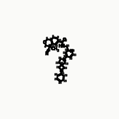 C[C@@]1(C#N)COCc2ccc(C(=O)NCc3cc(N4CCC5(C4)CN(c4ccccc4)C5)ccn3)cc21